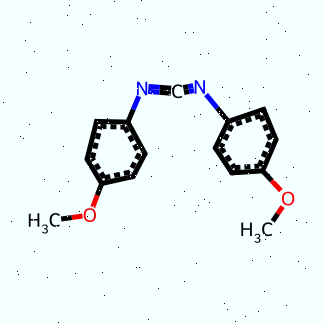 COc1ccc(N=C=Nc2ccc(OC)cc2)cc1